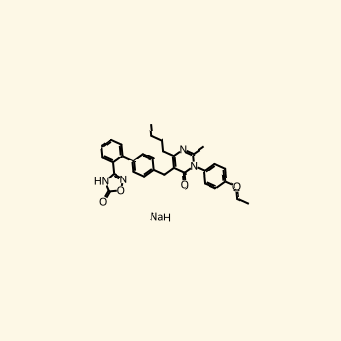 CCCCc1nc(C)n(-c2ccc(OCC)cc2)c(=O)c1Cc1ccc(-c2ccccc2-c2noc(=O)[nH]2)cc1.[NaH]